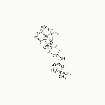 CC(C)(C)OC(=O)NC1CCN(S(=O)(=O)c2cccc(Br)c2C(F)(F)F)CC1